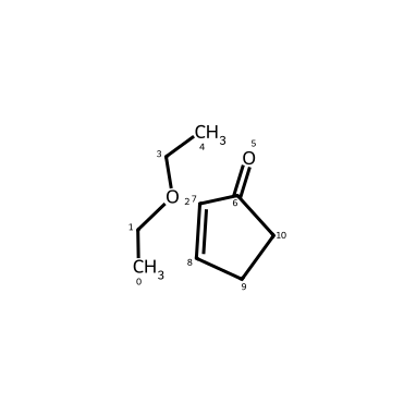 CCOCC.O=C1C=CCC1